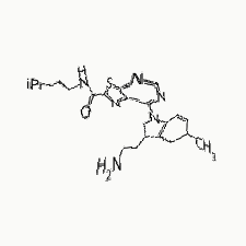 CC(C)CCNC(=O)c1nc2c(N3CC(CCN)C4=C3C=CC(C)C4)ncnc2s1